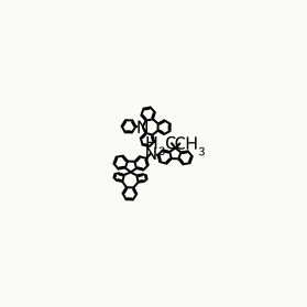 CC1(C)c2ccccc2-c2ccc(N(c3ccc4c(c3)-c3ccccc3-c3ccccc3N4c3ccccc3)c3ccc4c(c3)-c3ccccc3C43c4ccccc4-c4ccccc4-c4ccccc43)cc21